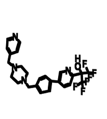 OC(c1ccc(-c2ccc(CN3CCN(Cc4ccncc4)CC3)cc2)cn1)(C(F)(F)F)C(F)(F)F